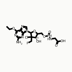 CCOc1nc(N)nc2c1ncn2C1OC(CO[PH](=O)NCC(=O)O)[C@H](O)C1(Cl)CF